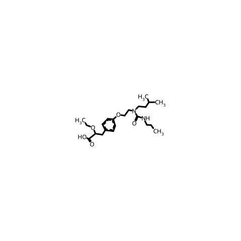 CCCNC(=O)N(CCOc1ccc(CC(OCC)C(=O)O)cc1)CCC(C)C